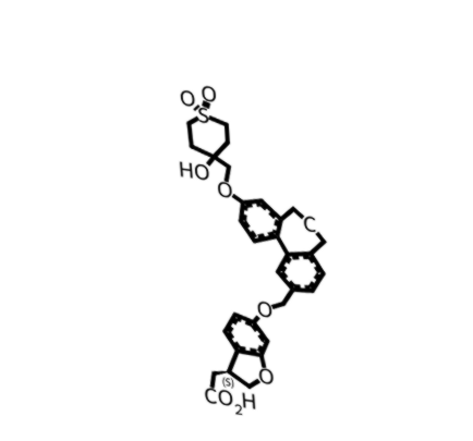 O=C(O)C[C@@H]1COc2cc(OCc3ccc4c(c3)-c3ccc(OCC5(O)CCS(=O)(=O)CC5)cc3CCC4)ccc21